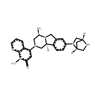 C[C@@H]1CN(c2cc(=O)n(C)c3ncccc23)C[C@@H]2c3ccc(N4C[C@H]5C[C@@H]4CN5)cc3CN12